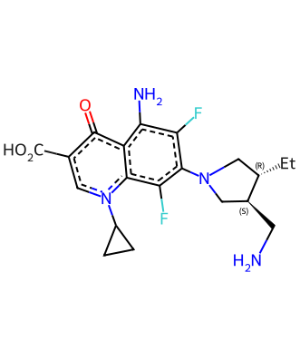 CC[C@H]1CN(c2c(F)c(N)c3c(=O)c(C(=O)O)cn(C4CC4)c3c2F)C[C@@H]1CN